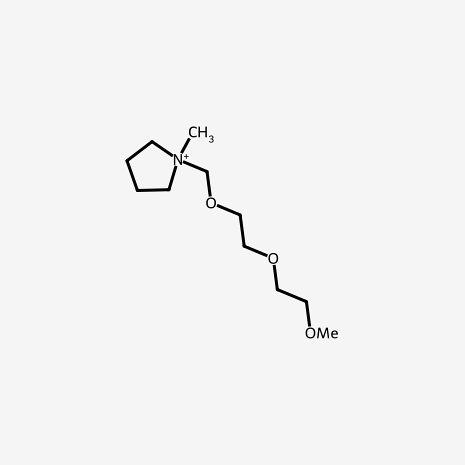 COCCOCCOC[N+]1(C)CCCC1